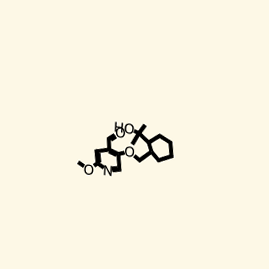 COc1cc(C=O)c(OCC2CCCCC2C(C)(C)O)cn1